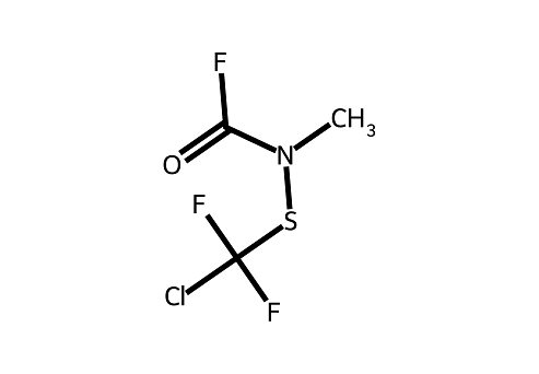 CN(SC(F)(F)Cl)C(=O)F